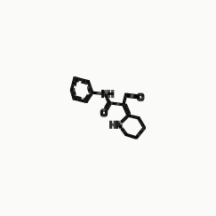 O=C/C(C(=O)Nc1ccccc1)=C1\CCCCN1